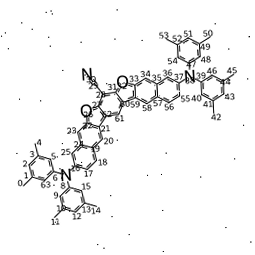 Cc1cc(C)cc(N(c2cc(C)cc(C)c2)c2ccc3cc4c(cc3c2)oc2c(C#N)c3oc5cc6cc(N(c7cc(C)cc(C)c7)c7cc(C)cc(C)c7)ccc6cc5c3cc24)c1